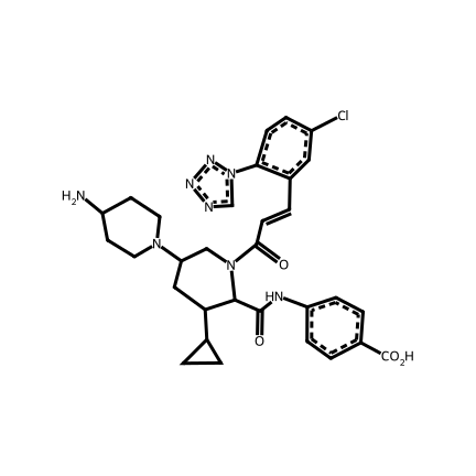 NC1CCN(C2CC(C3CC3)C(C(=O)Nc3ccc(C(=O)O)cc3)N(C(=O)C=Cc3cc(Cl)ccc3-n3cnnn3)C2)CC1